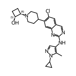 Cc1c(Nc2ncc3cc(Cl)c(C4CCN([C@@H]5CC[C@@H]5O)CC4)cc3n2)cnn1C1CC1